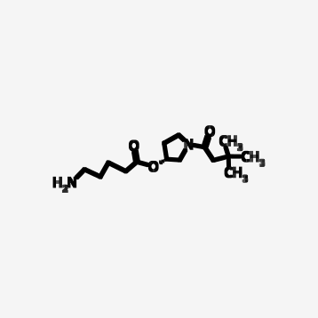 CC(C)(C)CC(=O)N1CC[C@@H](OC(=O)CCCCN)C1